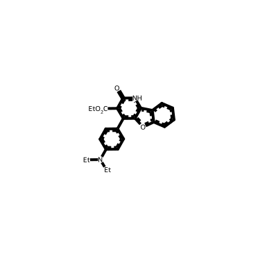 CCOC(=O)c1c(-c2ccc(N(CC)CC)cc2)c2oc3ccccc3c2[nH]c1=O